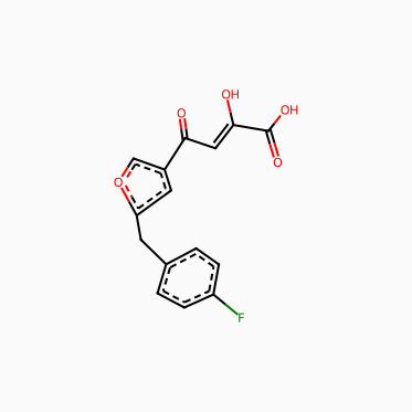 O=C(O)C(O)=CC(=O)c1coc(Cc2ccc(F)cc2)c1